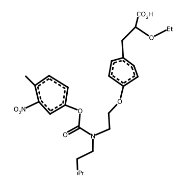 CCOC(Cc1ccc(OCCN(CCC(C)C)C(=O)Oc2ccc(C)c([N+](=O)[O-])c2)cc1)C(=O)O